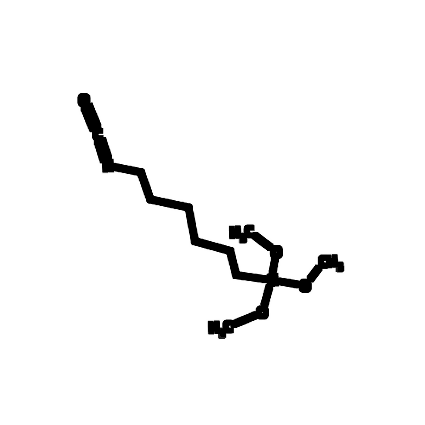 CO[Si](CCCCCCN=C=O)(OC)OC